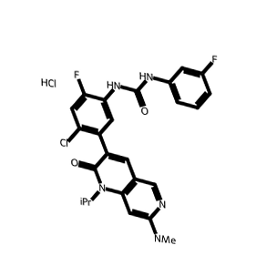 CNc1cc2c(cn1)cc(-c1cc(NC(=O)Nc3cccc(F)c3)c(F)cc1Cl)c(=O)n2C(C)C.Cl